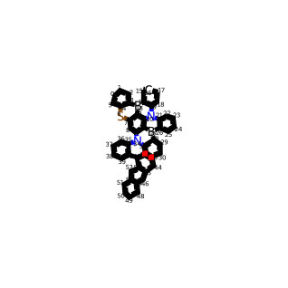 c1ccc2c(c1)Sc1cc3c4c5c1B2c1ccccc1N5c1ccccc1B4c1ccccc1N3c1ccccc1-c1cccc2cc3ccccc3cc12